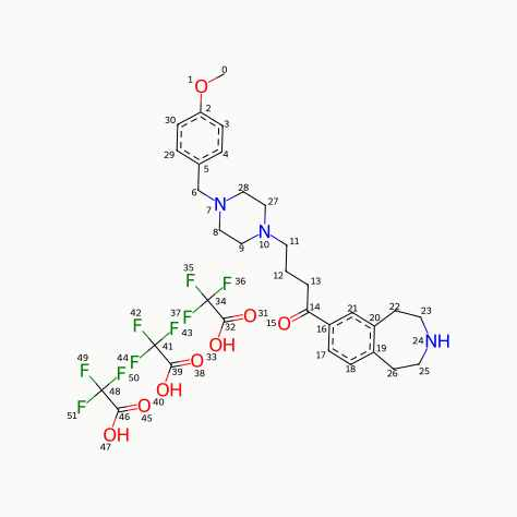 COc1ccc(CN2CCN(CCCC(=O)c3ccc4c(c3)CCNCC4)CC2)cc1.O=C(O)C(F)(F)F.O=C(O)C(F)(F)F.O=C(O)C(F)(F)F